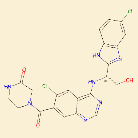 O=C1CN(C(=O)c2cc3ncnc(N[C@@H](CO)c4nc5cc(Cl)ccc5[nH]4)c3cc2Cl)CCN1